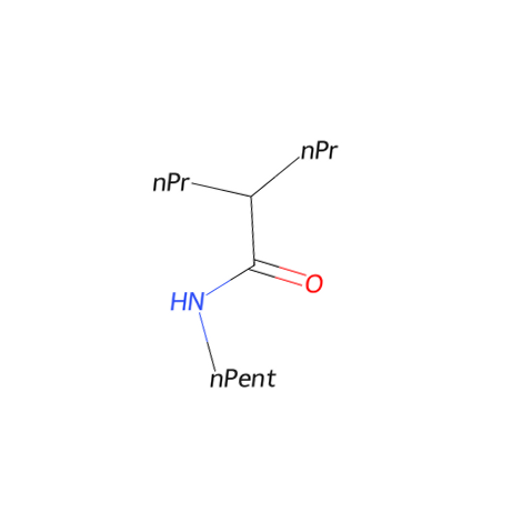 CCCCCNC(=O)C(CCC)CCC